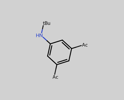 CC(=O)c1cc(NC(C)(C)C)cc(C(C)=O)c1